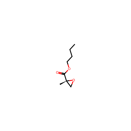 CCCCOC(=O)[C@@]1(C)CO1